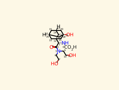 O=C(O)N[C@H](C(=O)N(CCO)CCO)[C@@]12C[C@@H]3C[C@@H](C[C@](O)(C3)C1)C2